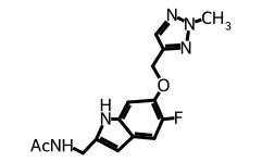 CC(=O)NCc1cc2cc(F)c(OCc3cnn(C)n3)cc2[nH]1